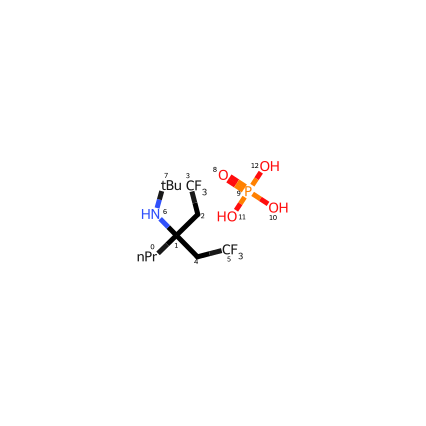 CCCC(CC(F)(F)F)(CC(F)(F)F)NC(C)(C)C.O=P(O)(O)O